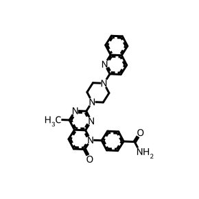 Cc1nc(N2CCN(c3ccc4ccccc4n3)CC2)nc2c1ccc(=O)n2-c1ccc(C(N)=O)cc1